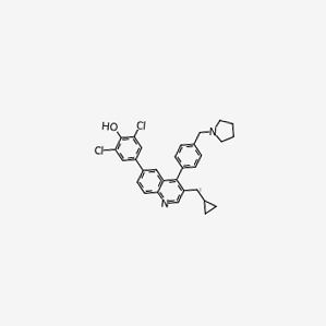 Oc1c(Cl)cc(-c2ccc3ncc([C]C4CC4)c(-c4ccc(CN5CCCC5)cc4)c3c2)cc1Cl